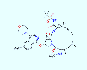 COc1ccc2c(O[C@@H]3C[C@H]4C(=O)N[C@]5(C(=O)NS(=O)(=O)C6(C)CC6)C[C@H]5/C=C\CC[C@@H](C)C[C@@H](C)[C@H](NC(=O)O)C(=O)N4C3)ncc(N3CCOCC3)c2c1